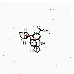 NC(=O)c1cc(N[C@H]2CCNC2=O)nc(C2=C[C@H]3CC[C@@H](C2)N3Cc2ccc(F)cc2)n1